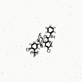 COCN(c1cc(Cl)cnc1C(=O)Nc1ccccc1)S(=O)(=O)c1ccc(Cl)c(C(F)(F)F)c1